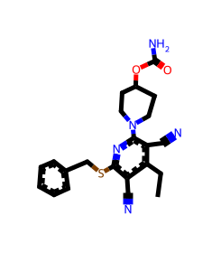 CCc1c(C#N)c(SCc2ccccc2)nc(N2CCC(OC(N)=O)CC2)c1C#N